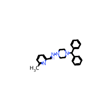 Cc1cccc(/C=N/N2CCN(C(c3ccccc3)c3ccccc3)CC2)n1